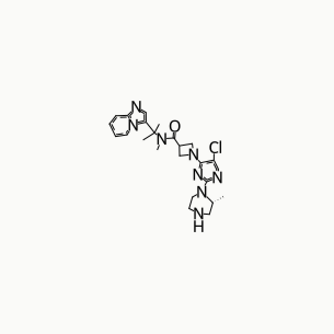 C[C@@H]1CNCCN1c1ncc(Cl)c(N2CC(C(=O)N(C)C(C)(C)c3cnc4ccccn34)C2)n1